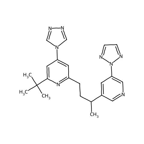 CC(CCc1cc(-n2cnnc2)cc(C(C)(C)C)n1)c1cncc(-n2nccn2)c1